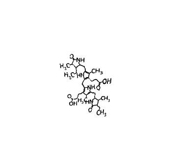 CCC1C(=O)NC(Cc2[nH]c(Cc3[nH]c(CC4NC(=O)C(C)C4CC)c(C)c3CCC(=O)O)c(CCC(=O)O)c2C)C1C